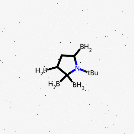 BC1CC(B)C(B)(B)N1C(C)(C)C